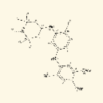 COc1cc(C#N)c(Nc2ncc(F)c(NC3CC(C)(C)N(C)C(C)(C)C3)n2)cc1OC